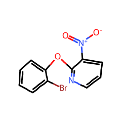 O=[N+]([O-])c1cccnc1Oc1ccccc1Br